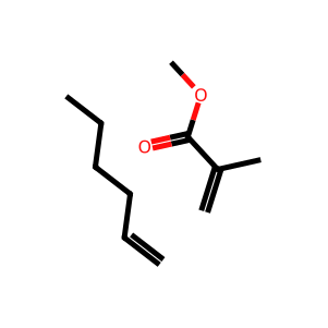 C=C(C)C(=O)OC.C=CCCCC